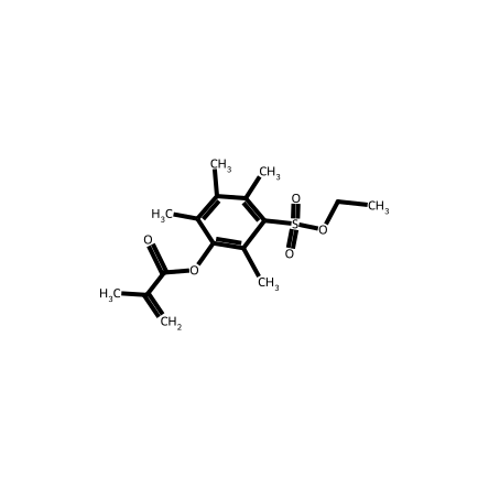 C=C(C)C(=O)Oc1c(C)c(C)c(C)c(S(=O)(=O)OCC)c1C